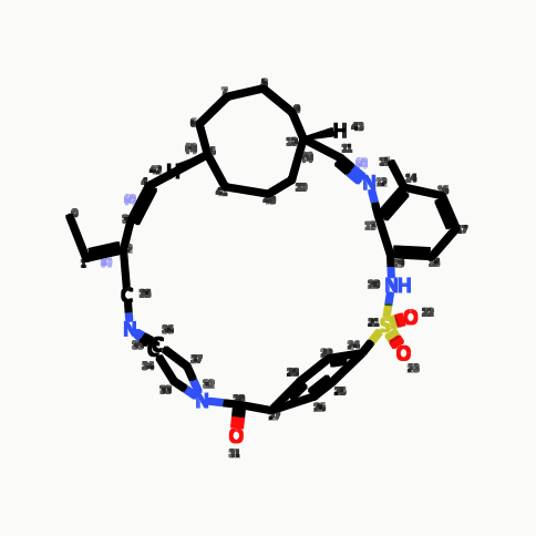 C/C=C1\C=C/[C@@H]2CCCC[C@H](/C=N\c3c(C)cccc3NS(=O)(=O)c3ccc(cc3)C(=O)N3CCN(CC3)C1)CCC2